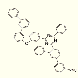 N#Cc1cccc(-c2ccc(-c3nc(-c4ccccc4)nc(-c4ccc5c(c4)oc4cccc(-c6cccc(-c7ccccc7)c6)c45)n3)c(-c3ccccc3)c2)c1